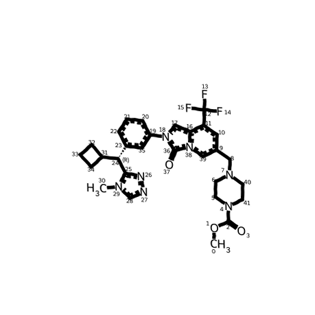 COC(=O)N1CCN(Cc2cc(C(F)(F)F)c3cn(-c4cccc([C@H](c5nncn5C)C5CCC5)c4)c(=O)n3c2)CC1